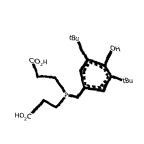 CC(C)(C)c1cc(CP(CCC(=O)O)CCC(=O)O)cc(C(C)(C)C)c1O